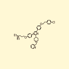 CCN(CC)CCCOc1ccc(-n2cc(-c3ccc(OCCc4ccc(Cl)cc4)cc3)nc2C2CCN(Cc3ccccn3)CC2)cc1